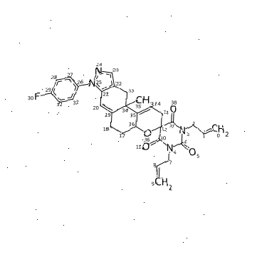 C=CCN1C(=O)N(CC=C)C(=O)C2(CC=C3C(CCC4=Cc5c(cnn5-c5ccc(F)cc5)CC43C)O2)C1=O